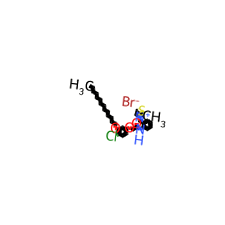 CCCCCCCCCCCCCCOc1cc(OCC(=O)Nc2ccccc2C[n+]2ccsc2C)ccc1Cl.[Br-]